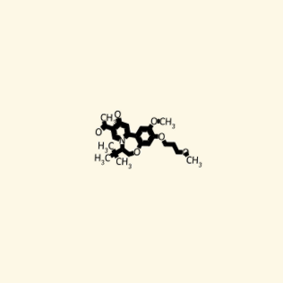 COCCCOc1cc2c(cc1OC)-c1cc(=O)c(C(C)=O)cn1C(C(C)(C)C)CO2